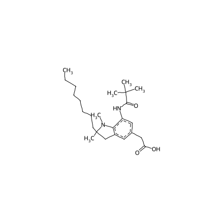 CCCCCCCCC1(C)Cc2cc(CC(=O)O)cc(NC(=O)C(C)(C)C)c2N1C